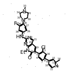 CCn1c(=O)c(-c2ccc(-c3ccnc(C)c3)cc2Cl)cc2cnc(Nc3ccc(N4CCN(C)CC4)c(F)c3)nc21